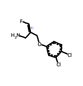 NC/C(=C\F)COc1ccc(Cl)c(Cl)c1